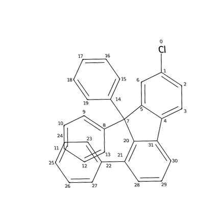 Clc1ccc2c(c1)C(c1ccccc1)(c1ccccc1)c1c(-c3ccccc3)cccc1-2